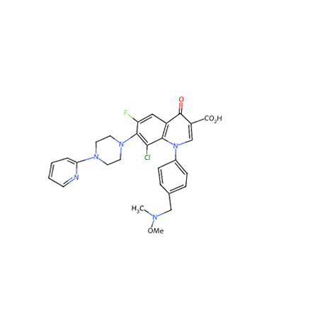 CON(C)Cc1ccc(-n2cc(C(=O)O)c(=O)c3cc(F)c(N4CCN(c5ccccn5)CC4)c(Cl)c32)cc1